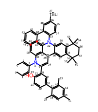 C/C=C\C(=C/C)N1C(c2cc(-c3c(C)cc(C)cc3C)ccc2O)=CB2c3cc4c(cc3N(c3ccc(C(C)(C)C)cc3-c3ccccc3)c3cc(C)cc1c32)C(C)(C)CCC4(C)C